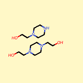 OCCN1CCN(CCO)CC1.OCCN1CCNCC1